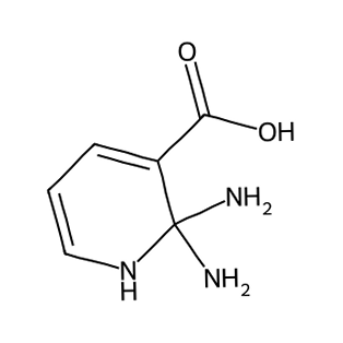 NC1(N)NC=CC=C1C(=O)O